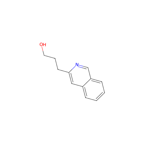 OCCCc1cc2ccccc2cn1